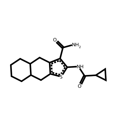 NC(=O)c1c(NC(=O)C2CC2)sc2c1CC1CCCCC1C2